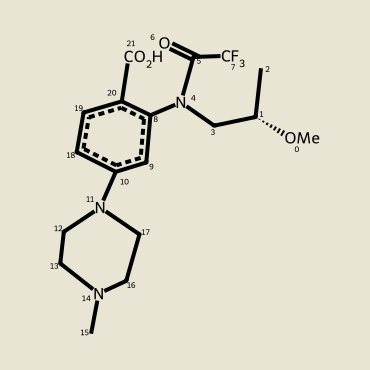 CO[C@@H](C)CN(C(=O)C(F)(F)F)c1cc(N2CCN(C)CC2)ccc1C(=O)O